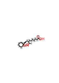 CC(=O)C(CC#CC1(O)CCCCCCC1)CCCCCCC(=O)O